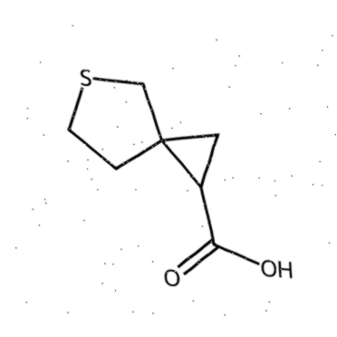 O=C(O)C1CC12CCSC2